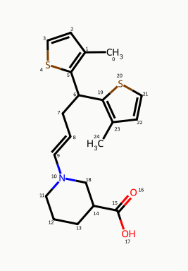 Cc1ccsc1C(CC=CN1CCCC(C(=O)O)C1)c1sccc1C